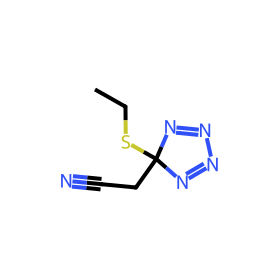 CCSC1(CC#N)N=NN=N1